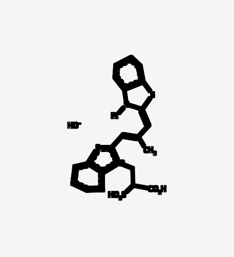 CCN1C(=CC(C)=Cc2sc3ccccc3[n+]2CC(C(=O)O)S(=O)(=O)O)Sc2ccccc21.[OH-]